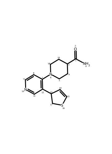 NC(=O)C1CCN(c2ccncc2C2C=CSC2)CC1